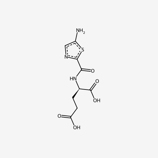 Nc1cnc(C(=O)N[C@H](CCC(=O)O)C(=O)O)s1